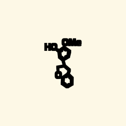 COc1ccc(C2COc3ccccc3C2)cc1O